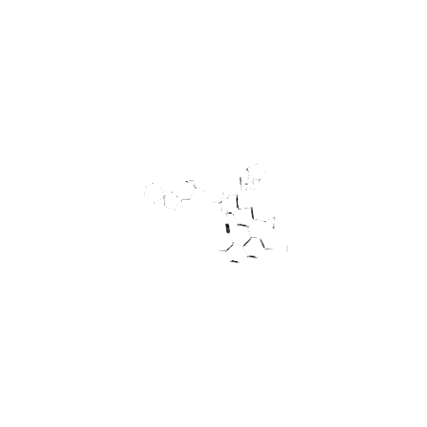 C#Cc1c(F)ccc2cc(O)cc(-c3c(C4CC4)cc4c(N5CC6CCC(C5)N6)nc(OCC5(CN6CCC7(CCOCC7)C6)CC5)nc4c3F)c12